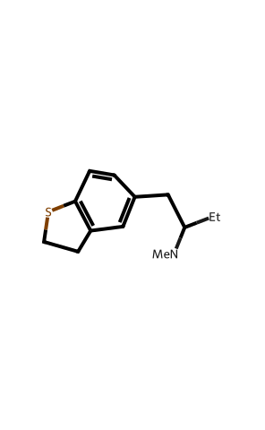 CCC(Cc1ccc2c(c1)CCS2)NC